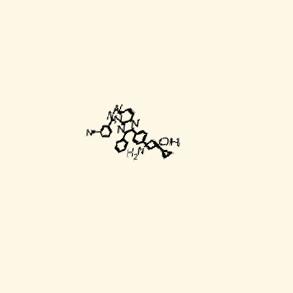 N#Cc1cccc(-c2nnc3ccc4nc(-c5ccc([C@]6(N)C[C@@](O)(C7CC7)C6)cc5)c(-c5ccccc5)nc4n23)c1